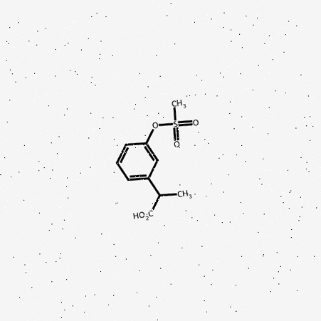 CC(C(=O)O)c1cccc(OS(C)(=O)=O)c1